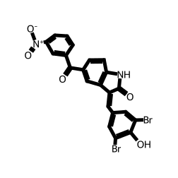 O=C1Nc2ccc(C(=O)c3cccc([N+](=O)[O-])c3)cc2C1=Cc1cc(Br)c(O)c(Br)c1